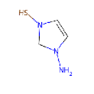 NN1C=CN(S)C1